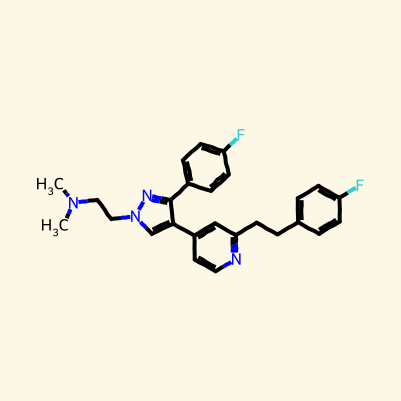 CN(C)CCn1cc(-c2ccnc(CCc3ccc(F)cc3)c2)c(-c2ccc(F)cc2)n1